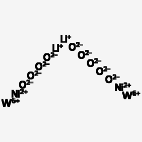 [Li+].[Li+].[Ni+2].[Ni+2].[O-2].[O-2].[O-2].[O-2].[O-2].[O-2].[O-2].[O-2].[O-2].[W+6].[W+6]